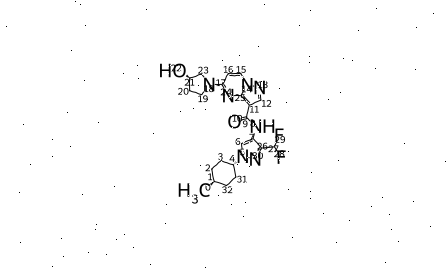 C[C@H]1CC[C@H](n2cc(NC(=O)c3cnn4ccc(N5CC[C@@H](O)C5)nc34)c(C(F)F)n2)CC1